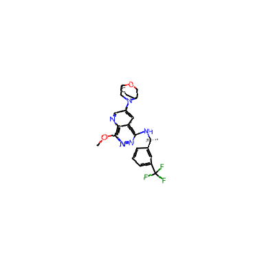 COc1nnc(N[C@H](C)c2cccc(C(F)(F)F)c2)c2cc(N3CC4CCCC3CO4)cnc12